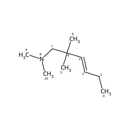 CC/C=C/C(C)(C)CN(C)C